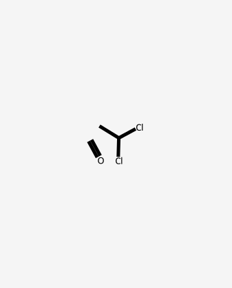 C=O.CC(Cl)Cl